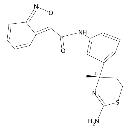 C[C@@]1(c2cccc(NC(=O)c3onc4ccccc34)c2)CCSC(N)=N1